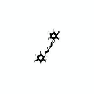 Fc1c(F)c(F)c(OC=COC=COc2c(F)c(F)c(F)c(F)c2F)c(F)c1F